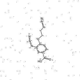 [N-]=[N+]=NCCOc1ccc(C(=O)O)cc1N=[N+]=[N-]